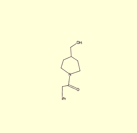 CC(C)CC(=O)N1CCC(CO)CC1